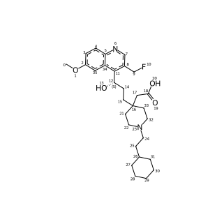 COc1ccc2ncc(CF)c([C@@H](O)CCC3(CC(=O)O)CCN(CCC4CCCCC4)CC3)c2c1